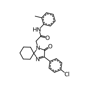 Cc1ccccc1NC(=O)CN1C(=O)C(c2ccc(Cl)cc2)=NC12CCCCC2